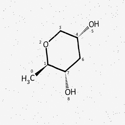 C[C@H]1OC[C@H](O)C[C@@H]1O